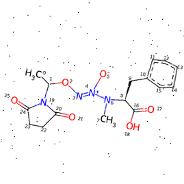 CC(O/N=[N+](\[O-])N(C)[C@@H](Cc1ccccc1)C(=O)O)N1C(=O)CCC1=O